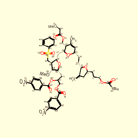 C=C1C[C@H](CCCOC(=O)C(C)(C)C)O[C@H]1CC[C@H]1C=C(C)[C@@H](COC(=O)COC)[C@@H](C[C@@H]2O[C@H](CC(COC(=O)c3ccc([N+](=O)[O-])cc3)OC(=O)c3ccc([N+](=O)[O-])cc3)[C@H](OC)[C@H]2CS(=O)(=O)c2ccccc2)O1